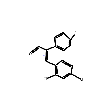 O=C/C(=C/c1ccc(Cl)cc1Cl)c1ccc(Cl)cc1